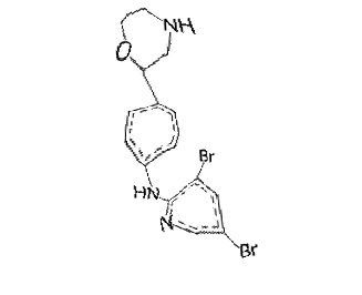 Brc1cnc(Nc2ccc(C3CNCCO3)cc2)c(Br)c1